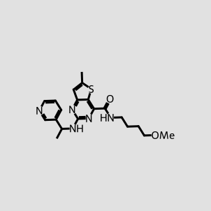 COCCCCNC(=O)c1nc(NC(C)c2cccnc2)nc2cc(C)sc12